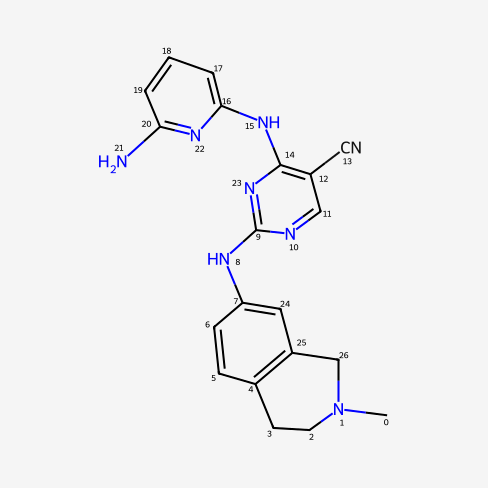 CN1CCc2ccc(Nc3ncc(C#N)c(Nc4cccc(N)n4)n3)cc2C1